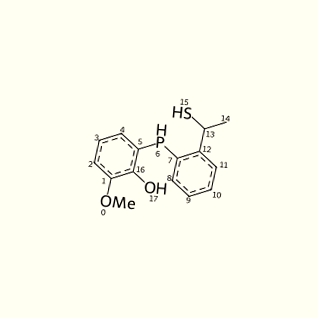 COc1cccc(Pc2ccccc2C(C)S)c1O